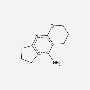 Nc1c2c(nc3c1CCCO3)CCC2